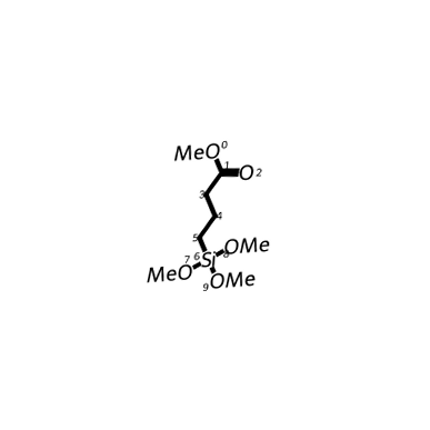 COC(=O)CCC[Si](OC)(OC)OC